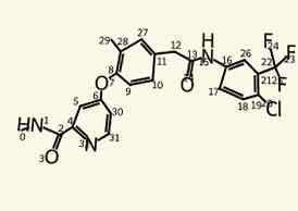 CNC(=O)c1cc(Oc2ccc(CC(=O)Nc3ccc(Cl)c(C(F)(F)F)c3)cc2C)ccn1